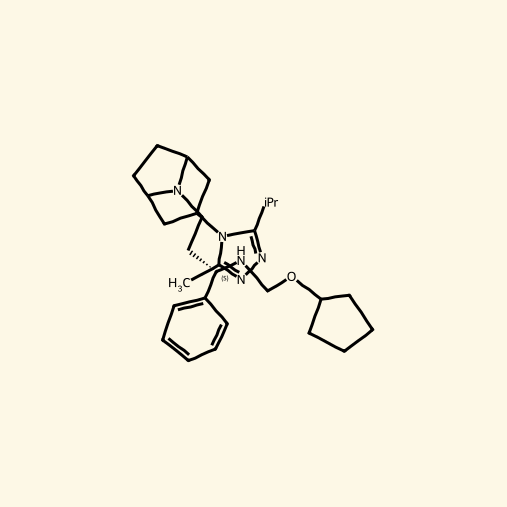 Cc1nnc(C(C)C)n1C1CC2CCC(C1)N2CC[C@H](NCOC1CCCC1)c1ccccc1